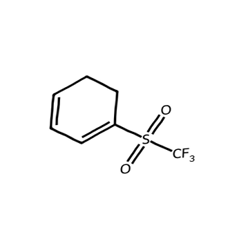 O=S(=O)(C1=CC=CCC1)C(F)(F)F